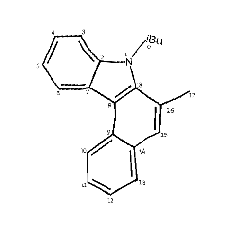 CCC(C)n1c2ccccc2c2c3ccccc3cc(C)c21